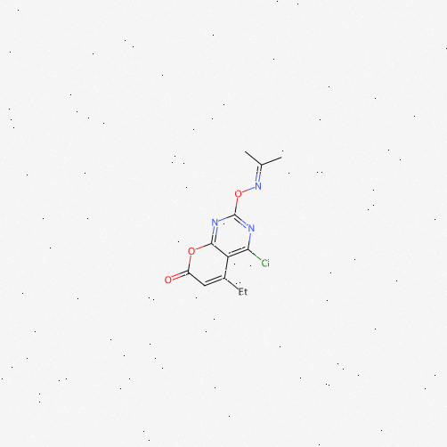 CCc1cc(=O)oc2nc(ON=C(C)C)nc(Cl)c12